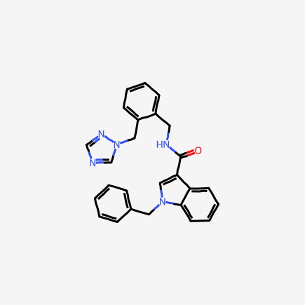 O=C(NCc1ccccc1Cn1cncn1)c1cn(Cc2ccccc2)c2ccccc12